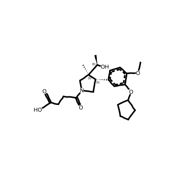 COc1ccc([C@@H]2CN(C(=O)CCC(=O)O)C[C@@]2(C)[C@@H](C)O)cc1OC1CCCC1